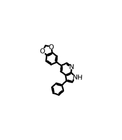 c1ccc(-c2c[nH]c3ncc(-c4ccc5c(c4)OCO5)cc23)cc1